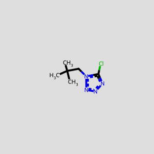 CC(C)(C)Cn1nnnc1Cl